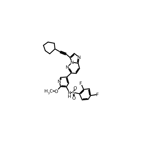 COc1ncc(-c2ccc3ncc(C#CC4CCCCC4)n3n2)cc1NS(=O)(=O)c1ccc(F)cc1F